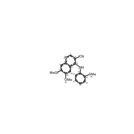 COc1cc2ncc(C#N)c(Nc3ccccc3SC)c2cc1OC